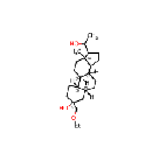 CCOC[C@@]1(O)CC[C@H]2[C@H](CC[C@H]3C4CCC(C(C)O)[C@@]4(C)CC[C@H]23)C1